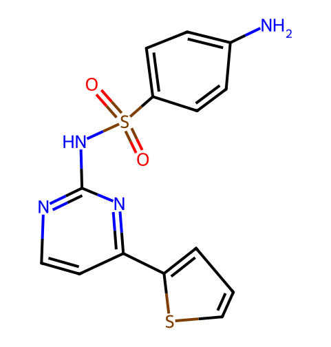 Nc1ccc(S(=O)(=O)Nc2nccc(-c3cccs3)n2)cc1